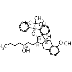 CCCC[C@H](O)CC[C@@H]1C2Cc3cccc(OC)c3C[C@H]2C[C@H]1O[Si](c1ccccc1)(c1ccccc1)C(C)(C)C